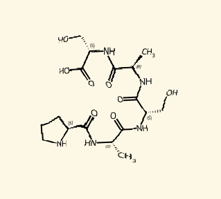 C[C@H](NC(=O)[C@@H]1CCCN1)C(=O)N[C@@H](CO)C(=O)N[C@H](C)C(=O)N[C@@H](CO)C(=O)O